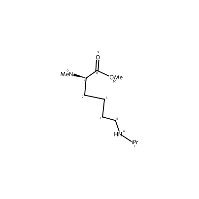 CN[C@H](CCCCNC(C)C)C(=O)OC